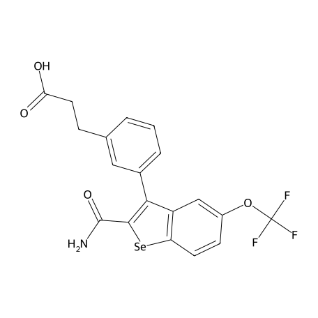 NC(=O)c1[se]c2ccc(OC(F)(F)F)cc2c1-c1cccc(CCC(=O)O)c1